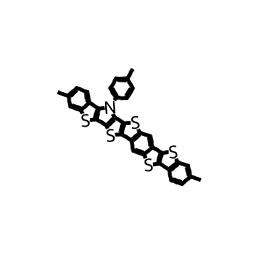 Cc1ccc(-n2c3c4ccc(C)cc4sc3c3sc4c5cc6sc7c8ccc(C)cc8sc7c6cc5sc4c32)cc1